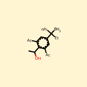 BC(CC)(CCC)c1cc(C(C)=O)c(C(C)O)c(C(C)=O)c1